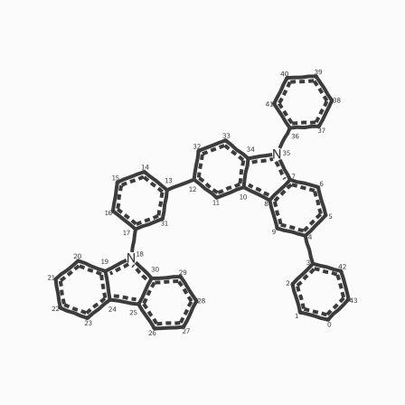 c1ccc(-c2ccc3c(c2)c2cc(-c4cccc(-n5c6ccccc6c6ccccc65)c4)ccc2n3-c2ccccc2)cc1